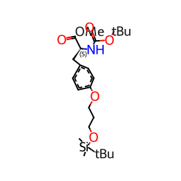 COC(=O)[C@H](Cc1ccc(OCCCO[Si](C)(C)C(C)(C)C)cc1)NC(=O)OC(C)(C)C